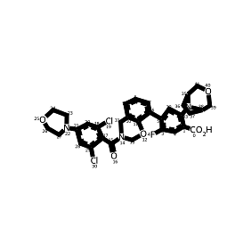 O=C(O)c1cc(F)c(-c2cccc3c2OCN(C(=O)c2c(Cl)cc(N4CCOCC4)cc2Cl)C3)cc1N1C2CCC1COC2